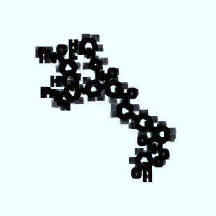 Cc1cc(F)c(Nc2nc(-c3ccc4c(c3)N([C@H]3C[C@@H](N5CCCCC5)C3)C(=O)C43CCN(C(=O)c4cccc(C5CCN(c6cccc7c6C(=O)N(C6CCC(=O)NC6=O)C7=O)CC5)c4)CC3)cc3ncn(C(C)C)c23)cc1C(=O)NC(C)C